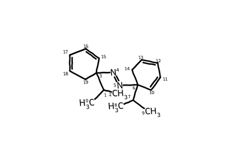 CC(C)C1(N=NC2(C(C)C)C=CC=CC2)C=CC=CC1